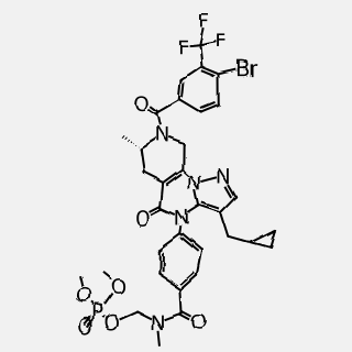 COP(=O)(OC)OCN(C)C(=O)c1ccc(-n2c(=O)c3c(n4ncc(CC5CC5)c24)CN(C(=O)c2ccc(Br)c(C(F)(F)F)c2)[C@@H](C)C3)cc1